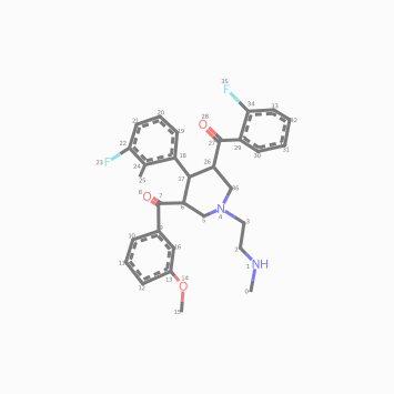 CNCCN1CC(C(=O)c2cccc(OC)c2)C(c2cccc(F)c2C)C(C(=O)c2ccccc2F)C1